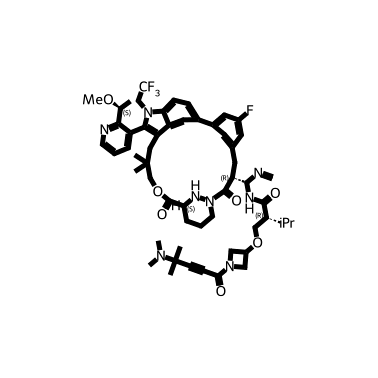 C=NC(NC(=O)[C@@H](COC1CN(C(=O)C#CC(C)(C)N(C)C)C1)C(C)C)[C@H]1Cc2cc(F)cc(c2)-c2ccc3c(c2)c(c(-c2cccnc2[C@H](C)OC)n3CC(F)(F)F)CC(C)(C)COC(=O)[C@@H]2CCCN(N2)C1=O